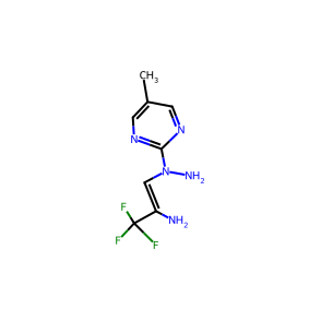 Cc1cnc(N(N)/C=C(\N)C(F)(F)F)nc1